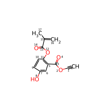 C#COC(=O)c1cc(O)ccc1OC(=O)C(=C)C